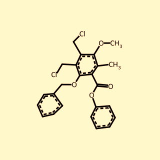 COc1c(C)c(C(=O)Oc2ccccc2)c(OCc2ccccc2)c(CCl)c1CCl